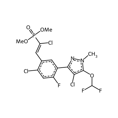 COP(=O)(OC)C(Cl)=Cc1cc(-c2nn(C)c(OC(F)F)c2Cl)c(F)cc1Cl